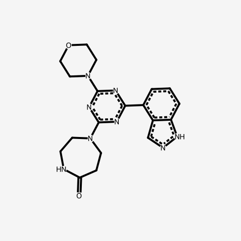 O=C1CCN(c2nc(-c3cccc4[nH]ncc34)nc(N3CCOCC3)n2)CCN1